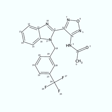 CC(=O)Nc1nonc1-c1nc2ccccc2n1Cc1cccc(C(F)(F)F)c1